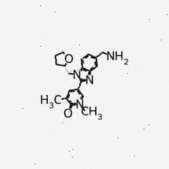 Cc1cc(-c2nc3cc(CN)ccc3n2C[C@@H]2CCCO2)cn(C)c1=O